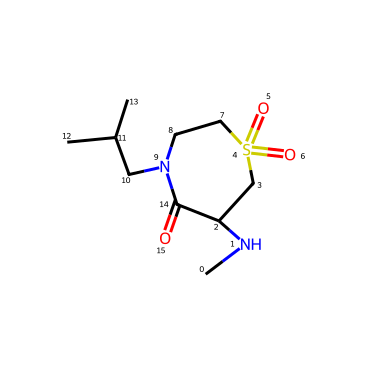 CNC1CS(=O)(=O)CCN(CC(C)C)C1=O